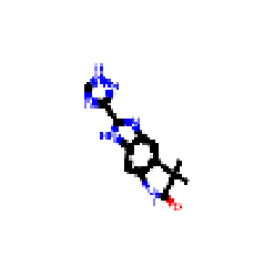 CC1(C)C(=O)Nc2cc3[nH]c(-c4nc[nH]n4)nc3cc21